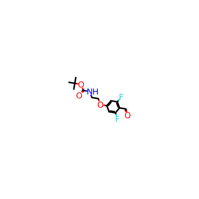 CC(C)(C)OC(=O)NCCOc1cc(F)c(C=O)c(F)c1